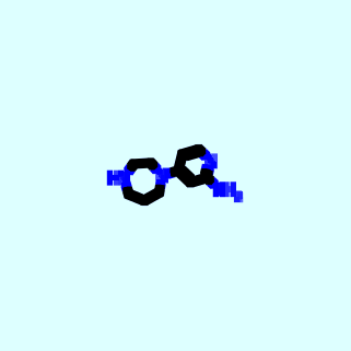 Nc1cc(N2CCCNCC2)ccn1